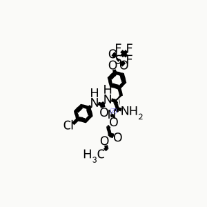 CCOC(=O)CO/N=C(\N)[C@H](Cc1ccc(OS(=O)(=O)C(F)(F)F)cc1)NC(=O)Nc1ccc(Cl)cc1